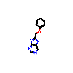 [c]1ccccc1OCc1nc2ncncc2[nH]1